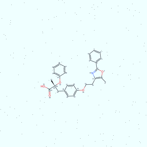 Cc1oc(-c2ccccc2)nc1CCOc1ccc(C[C@@](C)(Oc2ccccc2)C(=O)O)cc1